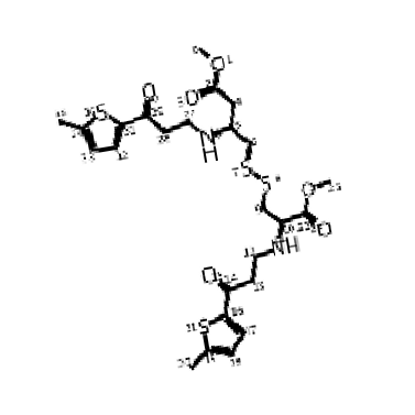 COC(=O)CC(CSSCC(NCCC(=O)c1ccc(C)s1)C(=O)OC)NCCC(=O)c1ccc(C)s1